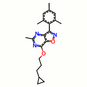 Cc1cc(C)c(-c2noc3c(OCCCC4CC4)nc(C)nc23)c(C)c1